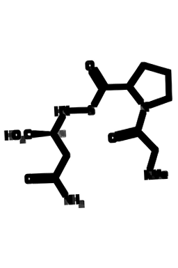 CNCC(=O)N1CCCC1C(=O)SN[C@@H](CC(N)=O)C(=O)O